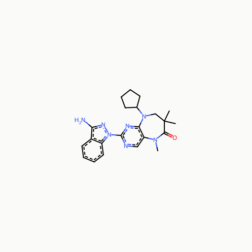 CN1C(=O)C(C)(C)CN(C2CCCC2)c2nc(-n3nc(N)c4ccccc43)ncc21